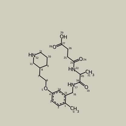 Cc1ccc(OCCC2CCCNC2)cc1CNC(=O)C(C)NC(=O)CCC(=O)O